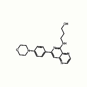 OCCCNc1nc(-c2ccc(N3CCOCC3)cc2)cc2nccnc12